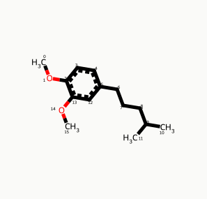 COc1ccc(CC[CH]C(C)C)cc1OC